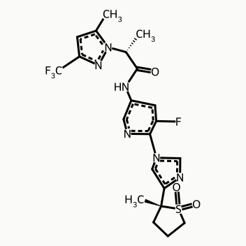 Cc1cc(C(F)(F)F)nn1[C@H](C)C(=O)Nc1cnc(-n2cnc([C@@]3(C)CCCS3(=O)=O)c2)c(F)c1